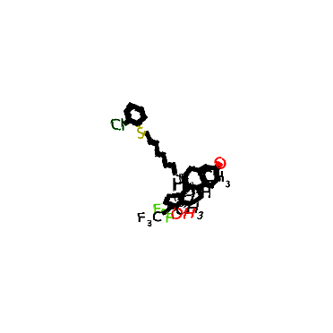 C[C@]12CCC(=O)C=C1C[C@@H](CCCCCCCCSc1ccccc1Cl)[C@@H]1[C@@H]2CC[C@@]2(C)[C@H]1CC[C@@]2(O)C(F)(F)C(F)(F)F